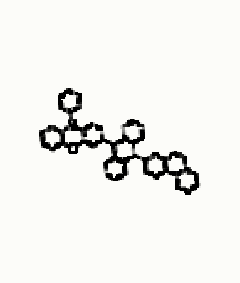 c1ccc(N2c3ccccc3Oc3cc(-c4c5ccccc5c(-c5ccc6c(ccc7ccccc76)c5)c5ccccc45)ccc32)cc1